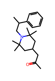 CC(=O)CC1CC(C)(C)N(CC(C)c2ccccc2)C(C)(C)C1